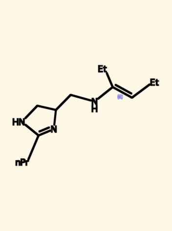 CC/C=C(\CC)NCC1CNC(CCC)=N1